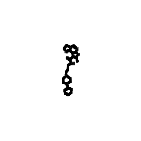 Cc1oc2c(c1C(=O)NCCCN1CCN(c3ccccc3)CC1)C1=NCCN1C=N2